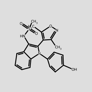 Cc1noc(C)c1-c1c(NS(C)(=O)=O)c2ccccc2n1-c1ccc(O)cc1